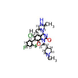 C[C@@H]1CN(c2nc(=O)n3c4c(c(-c5ccc(F)cc5F)c(Cl)cc24)OC[C@H]3CC2CCN(C)CC2)[C@@H](C)CN1